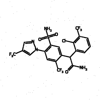 NC(=O)C(c1cc(S(N)(=O)=O)c(-n2cc(C(F)(F)F)cn2)cc1C(F)(F)F)c1cccc(C(F)(F)F)c1Cl